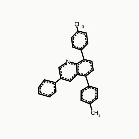 Cc1ccc(-c2ccc(-c3ccc(C)cc3)c3ncc(-c4ccccc4)cc23)cc1